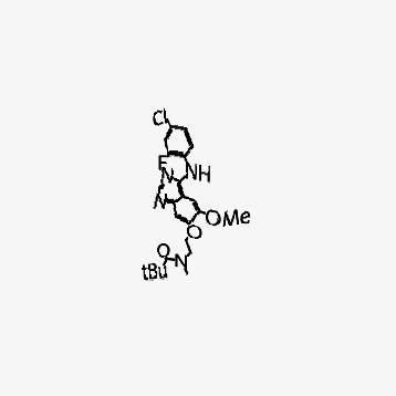 COc1cc2c(Nc3ccc(Cl)cc3F)ncnc2cc1OCCN(C)C(=O)C(C)(C)C